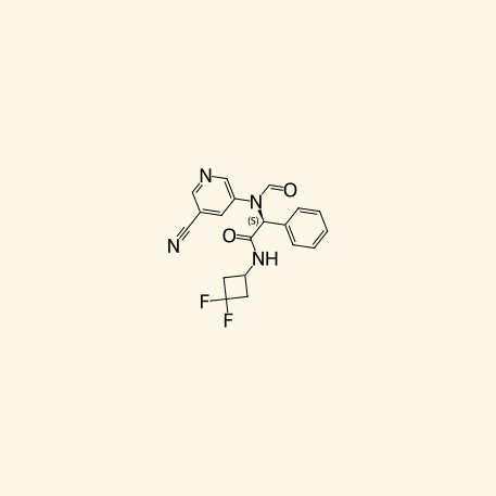 N#Cc1cncc(N(C=O)[C@H](C(=O)NC2CC(F)(F)C2)c2ccccc2)c1